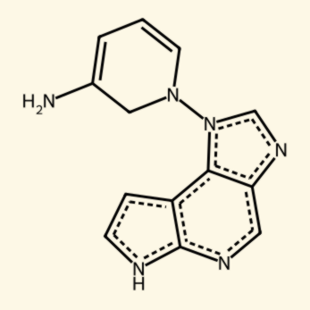 NC1=CC=CN(n2cnc3cnc4[nH]ccc4c32)C1